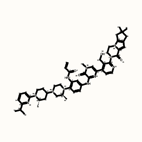 C=CC(=O)Nc1cc(Nc2nc(-c3ccnc(N4CCn5c(cc6c5CC(C)(C)C6)C4=O)c3CO)cn(C)c2=O)ccc1N1CCN(C2CCN(c3cccc(C(C)C)n3)[C@@H](C)C2)C[C@@H]1C